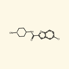 O=NN1CCC(NC(=O)c2cc3cc(Cl)ccc3o2)CC1